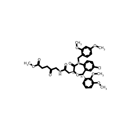 COC(=O)CCC(=O)CNC(=O)C[C@@H]1O[C@@H](c2cccc(OC)c2OC)c2cc(Cl)ccc2N(Cc2ccc(OC)cc2OC)C1=O